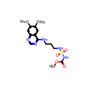 COc1cc2ncnc(NCCCNS(=O)(=O)NC(=O)OC(C)(C)C)c2cc1OC